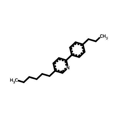 CCCCCCc1ccc(-c2ccc(CCC)cc2)nc1